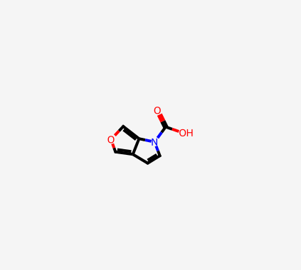 O=C(O)n1ccc2cocc21